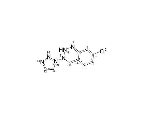 Clc1ccc2c(c1)=NNN(n1ccnn1)C=2